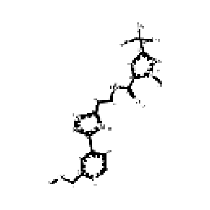 COCc1cc(-c2nsc(CCNC(=O)c3cc(C(F)(F)F)nn3C)n2)ccn1